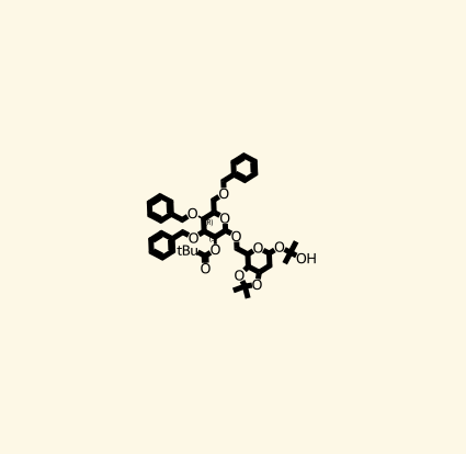 CC(C)(O)OC1CC2OC(C)(C)OC2C(COC2OC(COCc3ccccc3)[C@@H](OCc3ccccc3)C(OCc3ccccc3)[C@@H]2OC(=O)C(C)(C)C)O1